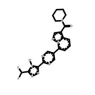 O=C(c1cnn2c(-c3cnc(-c4nnc(C(F)F)[s+]4[O-])nc3)cccc12)N1CCCCC1